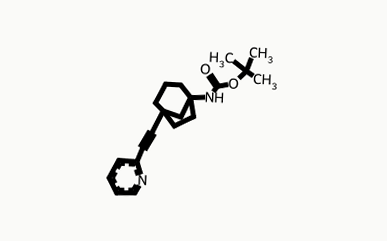 CC(C)(C)OC(=O)NC12CCCC(C#Cc3ccccn3)(CC1)C2